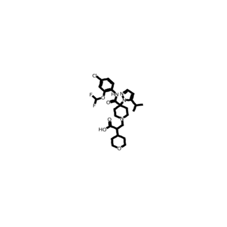 CC(C)c1ccnn1C1(C(=O)Nc2ccc(Cl)cc2OC(F)F)CCN(CC(C(=O)O)C2CCOCC2)CC1